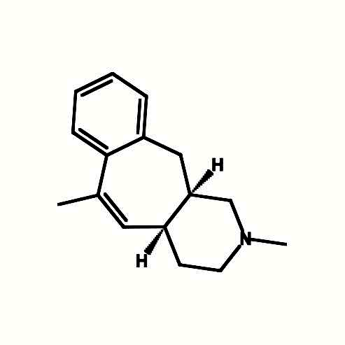 CC1=C[C@@H]2CCN(C)C[C@@H]2Cc2ccccc21